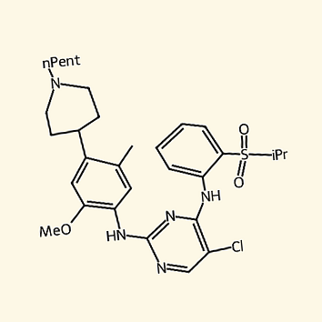 CCCCCN1CCC(c2cc(OC)c(Nc3ncc(Cl)c(Nc4ccccc4S(=O)(=O)C(C)C)n3)cc2C)CC1